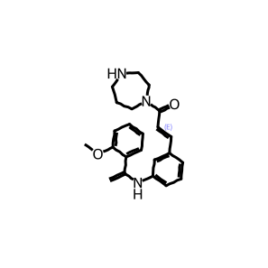 C=C(Nc1cccc(/C=C/C(=O)N2CCCNCC2)c1)c1ccccc1OC